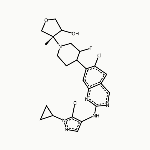 C[C@@]1(N2CCC(c3cc4nc(Nc5cnn(C6CC6)c5Cl)ncc4cc3Cl)C(F)C2)COCC1O